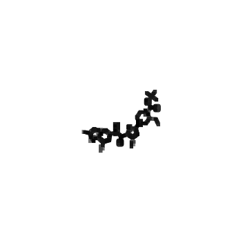 CCC1CN(c2cc(F)c(C(=O)Nc3cc(F)c4nc(C)cn4c3)s2)CCN1C(=O)OC(C)(C)C